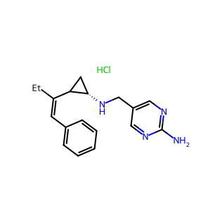 CCC(=Cc1ccccc1)C1C[C@@H]1NCc1cnc(N)nc1.Cl